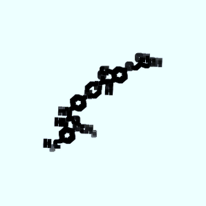 COc1ccc(C)cc1NC(=O)Nc1ccc(N2CCN(C(=O)Nc3ccc(OCC(O)CO)cc3Cl)CC2)cc1